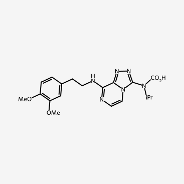 COc1ccc(CCNc2nccn3c(N(C(=O)O)C(C)C)nnc23)cc1OC